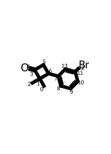 CC1(C)C(=O)CC1c1cccc(Br)c1